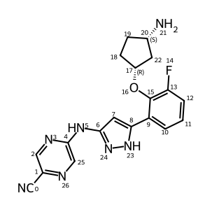 N#Cc1cnc(Nc2cc(-c3cccc(F)c3O[C@@H]3CC[C@H](N)C3)[nH]n2)cn1